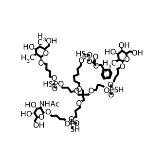 CC(=O)NC1[C@H](OCCCCOP(=O)(S)OCCCOCC(COCCCCCCOP(=O)(S)OC(=O)OCc2ccccc2)(COCCCOP(=O)(S)OCCCCO[C@@H]2OC(CO)[C@@H](C)[C@H](O)C2C)COCCCOP(=O)(S)OCCCCO[C@@H]2OC(CO)[C@H](O)[C@H](O)C2C)OC(CO)[C@H](O)[C@@H]1O